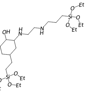 CCO[Si](CCCNCCNC1CC(CC[Si](OCC)(OCC)OCC)CCC1O)(OCC)OCC